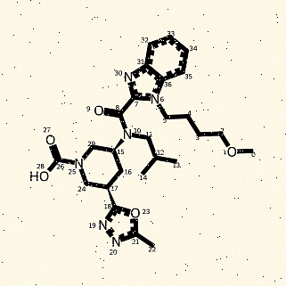 COCCCCn1c(C(=O)N(CC(C)C)[C@H]2C[C@@H](c3nnc(C)o3)CN(C(=O)O)C2)nc2ccccc21